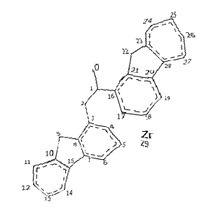 CC(Cc1cccc2c1Cc1ccccc1-2)c1cccc2c1Cc1ccccc1-2.[Zr]